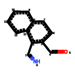 N=Cc1c(C=O)ccc2ccccc12